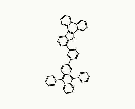 c1ccc(-c2c3ccccc3c(-c3ccccc3)c3cc(-c4cccc(-c5cccc6c5oc5c7ccccc7c7ccccc7c65)c4)ccc23)cc1